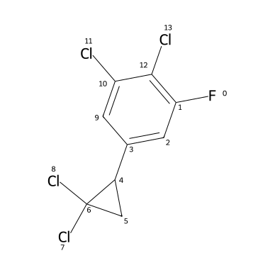 Fc1cc(C2CC2(Cl)Cl)cc(Cl)c1Cl